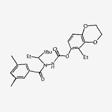 CCc1c(OC(=O)NN(C(=O)c2cc(C)cc(C)c2)C(CC)C(C)(C)C)ccc2c1OCCO2